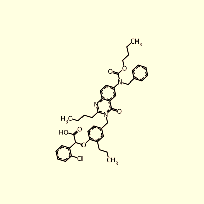 CCCCOC(=O)N(Cc1ccccc1)c1ccc2nc(CCCC)n(Cc3ccc(OC(C(=O)O)c4ccccc4Cl)c(CCC)c3)c(=O)c2c1